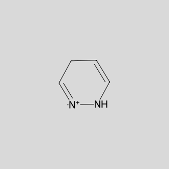 C1=CN[N+]=CC1